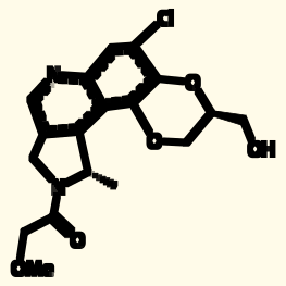 COCC(=O)N1Cc2cnc3cc(Cl)c4c(c3c2[C@@H]1C)OC[C@H](CO)O4